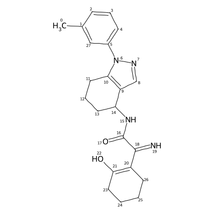 Cc1cccc(-n2ncc3c2CCCC3NC(=O)C(=N)C2=C(O)CCCC2)c1